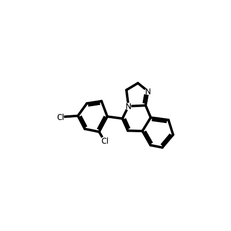 Clc1ccc(C2=Cc3ccccc3C3=NCCN23)c(Cl)c1